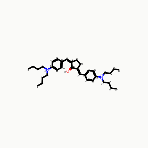 CCCCN(CCCC)c1ccc(/C=C2/CC/C(=C\c3ccc(N(CCCC)CCCC)cc3)C2=O)cc1